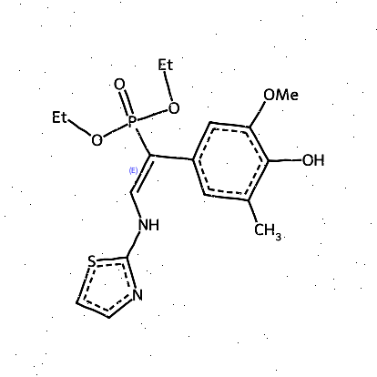 CCOP(=O)(OCC)/C(=C/Nc1nccs1)c1cc(C)c(O)c(OC)c1